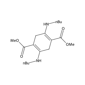 CCCCNC1=C(C(=O)OC)CC(NCCCC)=C(C(=O)OC)C1